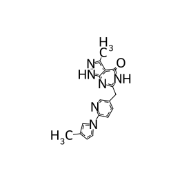 Cc1ccn(-c2ccc(Cc3nc4[nH]nc(C)c4c(=O)[nH]3)cn2)c1